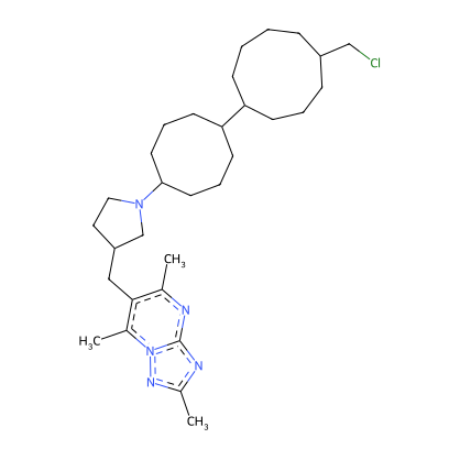 Cc1nc2nc(C)c(CC3CCN(C4CCCC(C5CCCCC(CCl)CCC5)CCC4)C3)c(C)n2n1